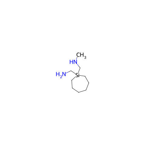 CNC[Si]1(CN)CCCCCC1